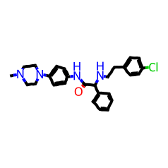 CN1CCN(c2ccc(NC(=O)C(NCCc3ccc(Cl)cc3)c3ccccc3)cc2)CC1